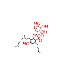 CCCCCc1cc(O)c(C/C=C(\C)CCC=C(C)C)c(OC[C@H]2CO[C@H](O)[C@@H](O)[C@@H]2O)c1C(=O)O